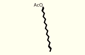 CC=CCCCCCCCCCCCC=COC(C)=O